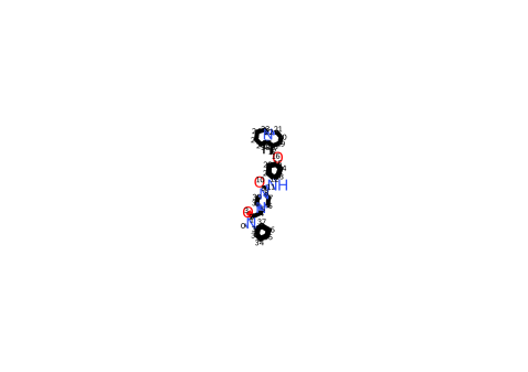 CN(C(=O)CN1CCN(C(=O)Nc2ccc(OC[C@@H]3CCCN4CCCC[C@H]34)cc2)CC1)c1ccccc1